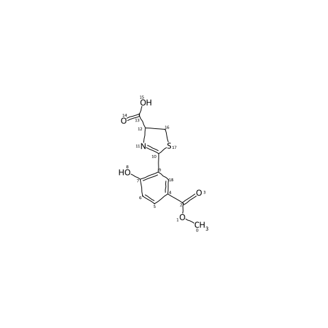 COC(=O)c1ccc(O)c(C2=NC(C(=O)O)CS2)c1